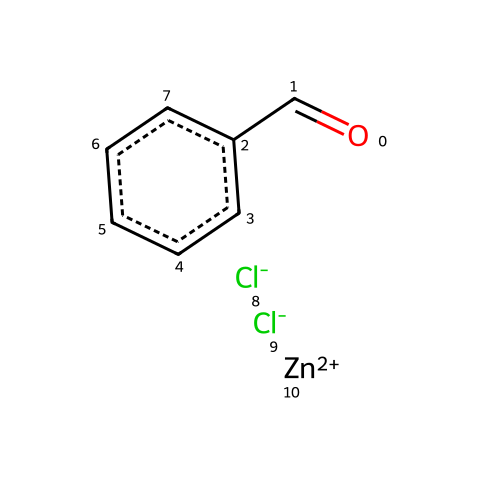 O=Cc1ccccc1.[Cl-].[Cl-].[Zn+2]